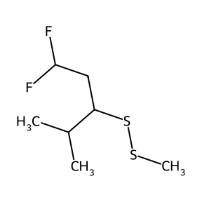 CSSC(CC(F)F)C(C)C